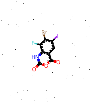 O=c1[nH]c2c(F)c(Br)c(I)cc2c(=O)o1